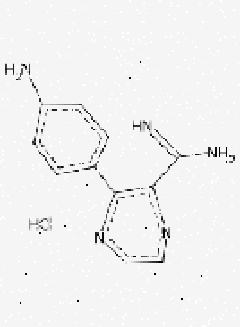 Cl.N=C(N)c1nccnc1-c1ccc(N)cc1